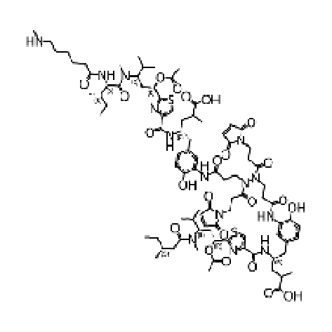 CC[C@H](C)CC(=O)N(C)[C@H](C[C@@H](OC(C)=O)c1nc(C(=O)N[C@@H](Cc2ccc(O)c(NC(=O)CCN(C(=O)CCN3C(=O)C=CC3=O)N(CCC(=O)Nc3cc(C[C@@H](CC(C)C(=O)O)NC(=O)c4csc([C@@H](C[C@H](C(C)C)N(C)C(=O)[C@@H](NC(=O)CCCCCNC)[C@@H](C)CC)OC(C)=O)n4)ccc3O)C(=O)CCN3C(=O)C=CC3=O)c2)CC(C)C(=O)O)cs1)C(C)C